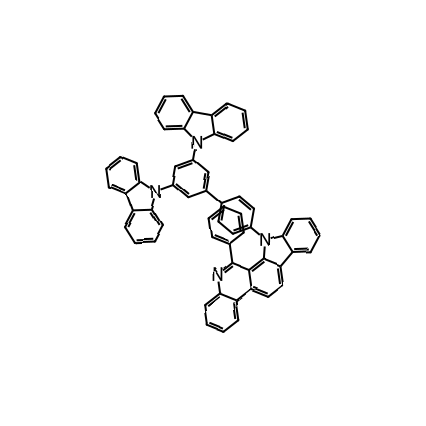 c1ccc(-c2nc3ccccc3c3ccc4c5ccccc5n(-c5ccc(-c6cc(-n7c8ccccc8c8ccccc87)cc(-n7c8ccccc8c8ccccc87)c6)cc5)c4c23)cc1